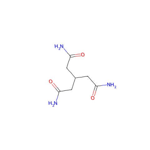 NC(=O)CC(CC(N)=O)CC(N)=O